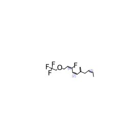 C=C(/C=C\C(F)=C/COCC(F)(F)F)C/C=C\C